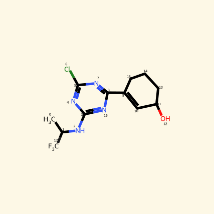 CC(Nc1nc(Cl)nc(C2=CC(O)CCC2)n1)C(F)(F)F